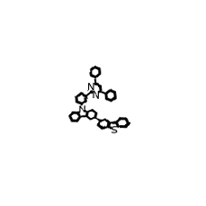 c1ccc(-c2cc(-c3ccccc3)nc(-c3cccc(-n4c5ccccc5c5cc(-c6ccc7sc8ccccc8c7c6)ccc54)c3)n2)cc1